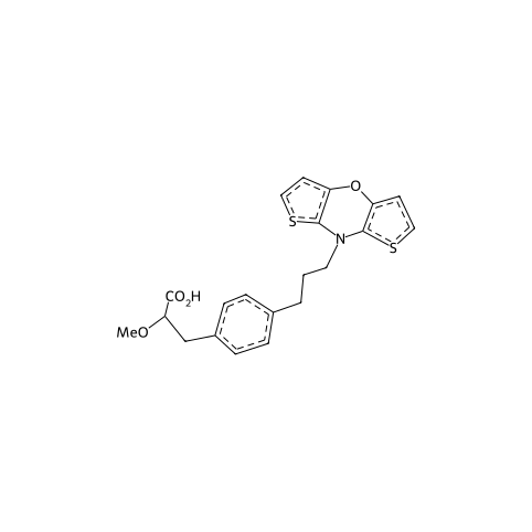 COC(Cc1ccc(CCCN2c3sccc3Oc3ccsc32)cc1)C(=O)O